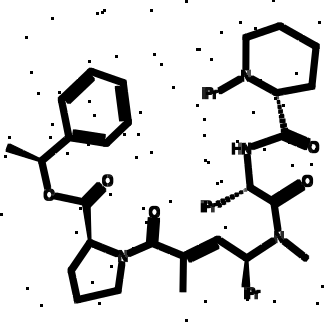 C/C(=C\[C@H](C(C)C)N(C)C(=O)[C@@H](NC(=O)[C@H]1CCCCN1C(C)C)C(C)C)C(=O)N1CCC[C@H]1C(=O)O[C@@H](C)c1ccccc1